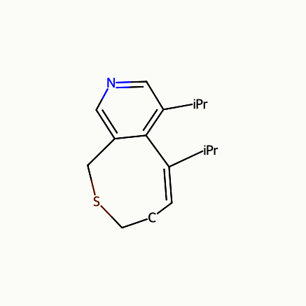 CC(C)/C1=C/CCSCc2cncc(C(C)C)c21